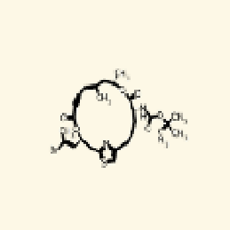 C/C(Br)=C\[C@@H]1Cc2nc(cs2)CCC[C@@H](NC(=O)OC(C)(C)C)C(=O)O[C@@H](C)C/C(C)=C/C#CC(=O)O1